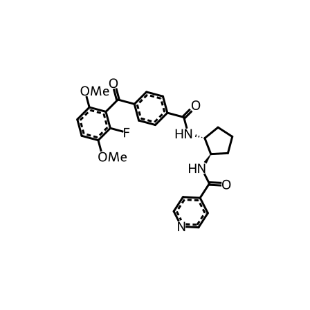 COc1ccc(OC)c(C(=O)c2ccc(C(=O)N[C@@H]3CCC[C@H]3NC(=O)c3ccncc3)cc2)c1F